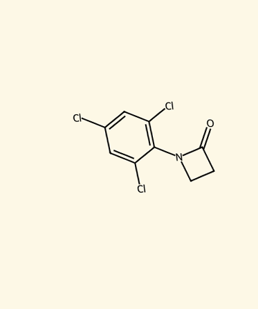 O=C1CCN1c1c(Cl)cc(Cl)cc1Cl